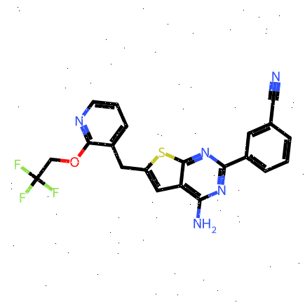 N#Cc1cccc(-c2nc(N)c3cc(Cc4cccnc4OCC(F)(F)F)sc3n2)c1